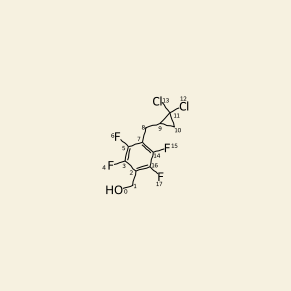 OCc1c(F)c(F)c(CC2CC2(Cl)Cl)c(F)c1F